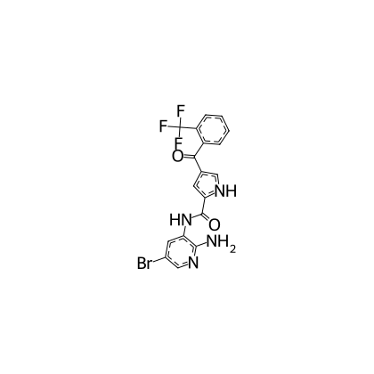 Nc1ncc(Br)cc1NC(=O)c1cc(C(=O)c2ccccc2C(F)(F)F)c[nH]1